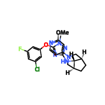 COc1cc(N2C[C@H]3CC[C@@H](C2)[C@@H]3Nc2nc(Oc3cc(F)cc(Cl)c3)n(C)n2)ccn1